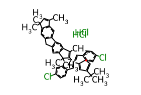 CC1=CC(C)(C)c2cc3c(cc21)-c1cc2c(cc1C3)C(C)(C)[C]([Zr](=[CH]c1ccc(Cl)cc1)(=[CH]c1ccc(Cl)cc1)[C]1=CC(C(C)(C)C)=CC1)=C2C.Cl.Cl